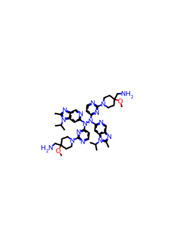 COC1(CN)CCN(c2nccc(N(c3cc4c(cn3)nc(C)n4C(C)C)N(c3cc4c(cn3)nc(C)n4C(C)C)c3ccnc(N4CCC(CN)(OC)CC4)n3)n2)CC1